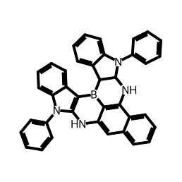 c1ccc(N2c3ccccc3C3B4c5c(cc6ccccc6c5NC32)Nc2c4c3ccccc3n2-c2ccccc2)cc1